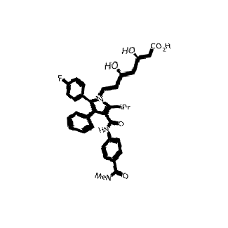 CNC(=O)c1ccc(NC(=O)c2c(-c3ccccc3)c(-c3ccc(F)cc3)n(CC[C@@H](O)C[C@@H](O)CC(=O)O)c2C(C)C)cc1